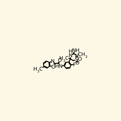 Cc1ccc2nc(C(=O)Nc3ccc(F)c(C4(C)CS(=O)(=O)N(C)C(=N)N4)c3)oc2c1